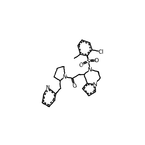 Cc1cccc(Cl)c1S(=O)(=O)N1CCn2cccc2C1CC(=O)N1CCCC1Cc1ccccn1